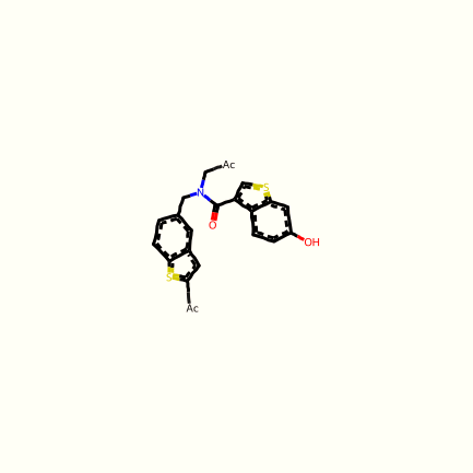 CC(=O)CN(Cc1ccc2sc(C(C)=O)cc2c1)C(=O)c1csc2cc(O)ccc12